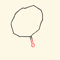 O=C1C[CH]CCCCCCC1